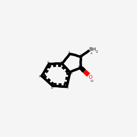 BC1Cc2ccccc2C1=O